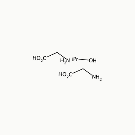 CC(C)O.NCC(=O)O.NCC(=O)O